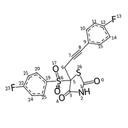 O=C1NC(=O)C(CC#Cc2ccc(F)cc2)(S(=O)(=O)c2ccc(F)cc2)S1